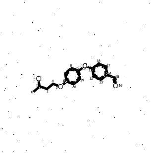 CC(Cl)CCOc1ccc(Oc2ccc(C=O)cc2)cc1